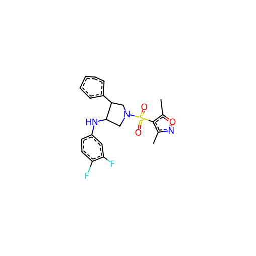 Cc1noc(C)c1S(=O)(=O)N1CC(Nc2ccc(F)c(F)c2)C(c2ccccc2)C1